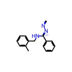 C=N/N=C(\NCc1ccccc1C)c1ccccc1